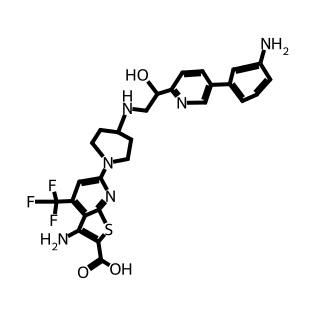 Nc1cccc(-c2ccc(C(O)CNC3CCN(c4cc(C(F)(F)F)c5c(N)c(C(=O)O)sc5n4)CC3)nc2)c1